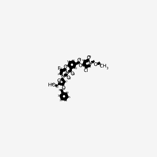 CCOCn1cc(Cl)c(OC(=O)c2cccc(C(=O)n3c(=O)c(F)cn([C@H]4C[C@H](OCc5ccccc5)[C@@H](CO)O4)c3=O)c2)cc1=O